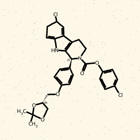 CC1(C)OC[C@@H](COc2ccc([C@H]3c4[nH]c5c(c4CCN3C(=O)Oc3ccc(Cl)cc3)=CC(Cl)CC=5)cc2)O1